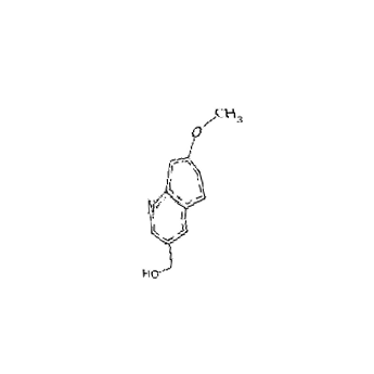 COc1ccc2cc(CO)cnc2c1